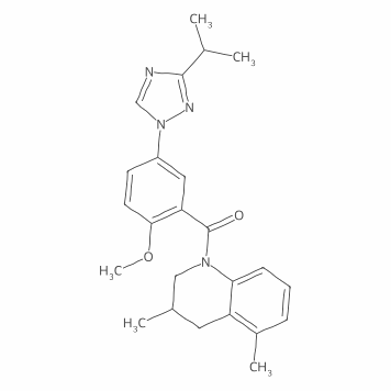 COc1ccc(-n2cnc(C(C)C)n2)cc1C(=O)N1CC(C)Cc2c(C)cccc21